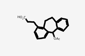 CC(=O)OC1c2ccccc2CCc2c(CCC(=O)O)cccc21